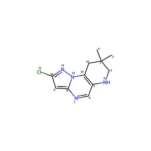 CC1(C)CNc2cnc3cc(Cl)nn3c2C1